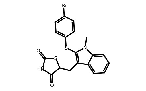 Cn1c(Sc2ccc(Br)cc2)c(CC2SC(=O)NC2=O)c2ccccc21